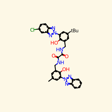 Cc1cc(CNC(=O)C(=O)NCc2cc(C(C)(C)C)cc(-n3nc4ccc(Cl)cc4n3)c2O)c(O)c(-n2nc3ccccc3n2)c1